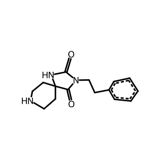 O=C1NC2(CCNCC2)C(=O)N1CCc1ccccc1